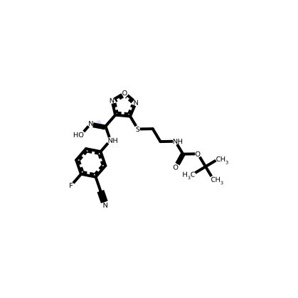 CC(C)(C)OC(=O)NCCSc1nonc1/C(=N/O)Nc1ccc(F)c(C#N)c1